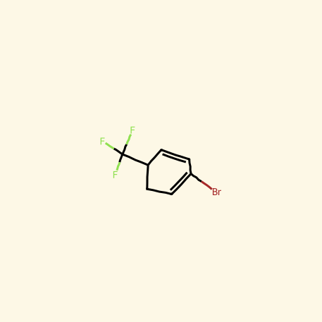 FC(F)(F)C1C=CC(Br)=CC1